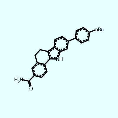 CCCCc1ccc(-c2ccc3c4c([nH]c3c2)-c2ccc(C(N)=O)cc2CC4)cc1